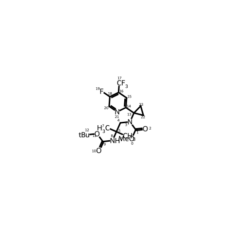 COC(=O)N(CC(C)(C)NC(=O)OC(C)(C)C)C1(c2cc(C(F)(F)F)c(F)cn2)CC1